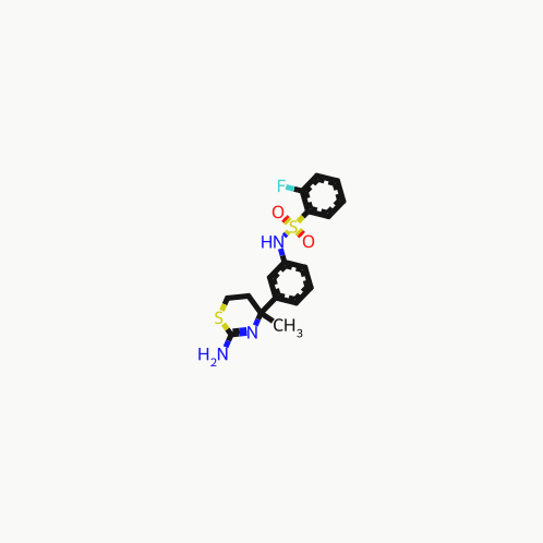 CC1(c2cccc(NS(=O)(=O)c3ccccc3F)c2)CCSC(N)=N1